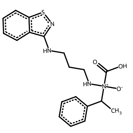 CC(c1ccccc1)[N+]([O-])(NCCCNc1nsc2ccccc12)C(=O)O